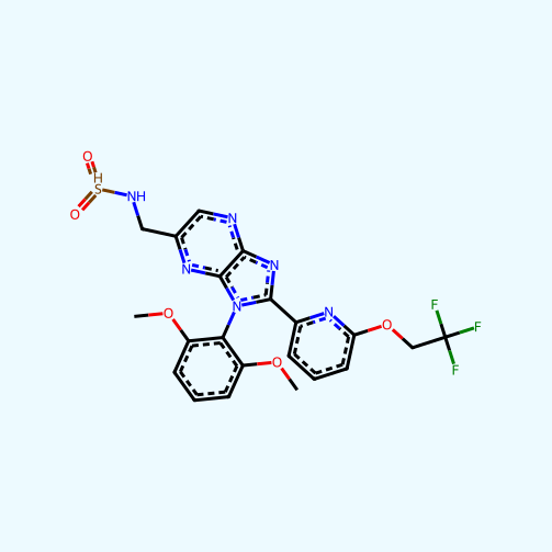 COc1cccc(OC)c1-n1c(-c2cccc(OCC(F)(F)F)n2)nc2ncc(CN[SH](=O)=O)nc21